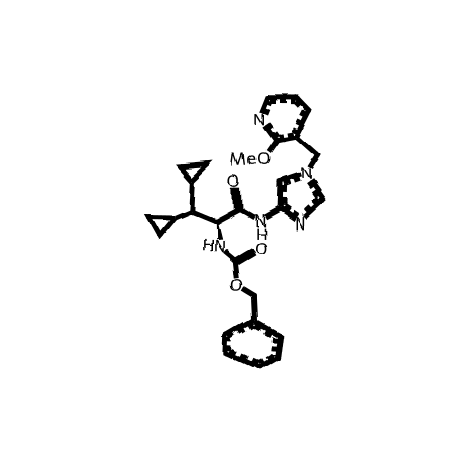 COc1ncccc1Cn1cnc(NC(=O)[C@@H](NC(=O)OCc2ccccc2)C(C2CC2)C2CC2)c1